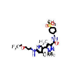 CCn1nc(C(=O)NC[C@H]2CC[C@H](S(C)(=O)=O)CC2)c(C)c1-c1cnc(NCCCOCC(F)(F)F)cc1OC